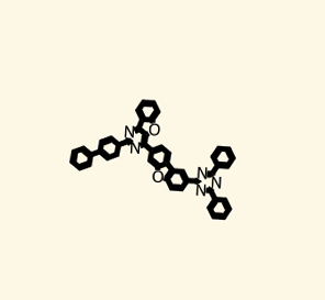 C1=CC(c2nc(-c3ccc4c(c3)oc3ccc(-c5nc(-c6ccccc6)nc(-c6ccccc6)n5)cc34)c3oc4ccccc4c3n2)CC=C1c1ccccc1